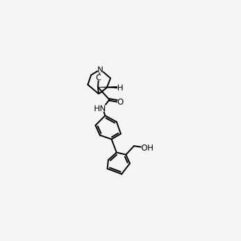 O=C(Nc1ccc(-c2ccccc2CO)cc1)[C@H]1CN2CCC1CC2